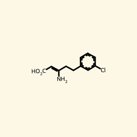 N/C(=C\C(=O)O)CCc1cccc(Cl)c1